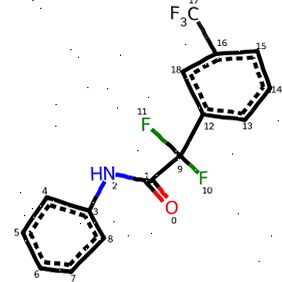 O=C(Nc1ccccc1)C(F)(F)c1c[c]cc(C(F)(F)F)c1